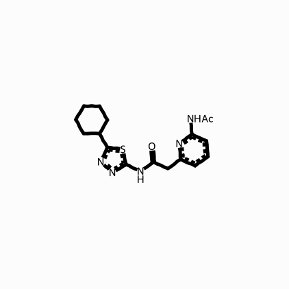 CC(=O)Nc1cccc(CC(=O)Nc2nnc(C3CCCCC3)s2)n1